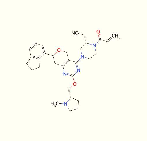 C=CC(=O)N1CCN(c2nc(OC[C@@H]3CCCN3C)nc3c2COC(c2cccc4c2CCC4)C3)C[C@@H]1CC#N